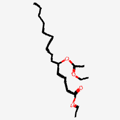 CCCCCCCCCC(CCCC(=O)OCC)OC(C)OCC